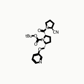 CC(C)(C)OC(=O)N1[C@@H](COc2cccnc2)CC[C@H]1C(=O)N1CCC[C@H]1C#N